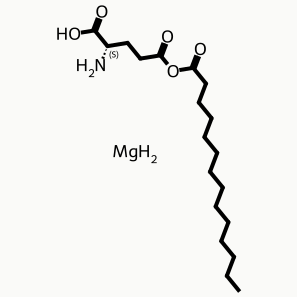 CCCCCCCCCCCCCC(=O)OC(=O)CC[C@H](N)C(=O)O.[MgH2]